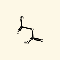 CC(C)C(=O)O[PH](=O)O